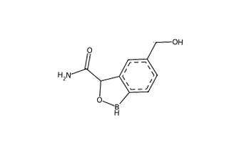 NC(=O)C1OBc2ccc([CH]O)cc21